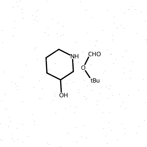 CC(C)(C)OC=O.OC1CCCNC1